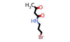 CC(=O)CC(=O)NCCCBr